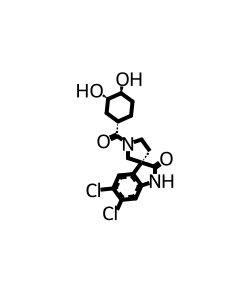 O=C([C@H]1CC[C@H](O)[C@@H](O)C1)N1CC[C@]2(C1)C(=O)Nc1cc(Cl)c(Cl)cc12